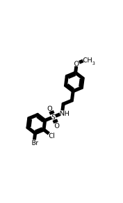 COc1ccc(CCNS(=O)(=O)c2cccc(Br)c2Cl)cc1